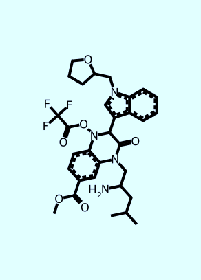 COC(=O)c1ccc2c(c1)N(CC(N)CC(C)C)C(=O)C(c1cn(CC3CCCO3)c3ccccc13)N2OC(=O)C(F)(F)F